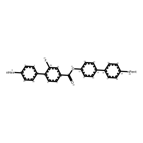 CCCCCCc1ccc(-c2ccc(C(=O)Oc3ccc(-c4ccc(CCCCC)cc4)cc3)cc2F)cc1